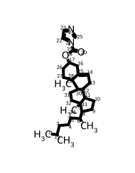 CC(C)CCCC(C)C1CCC2C3CC=C4CC(OC(=O)n5ccnc5)CCC4(C)C3CCC12C